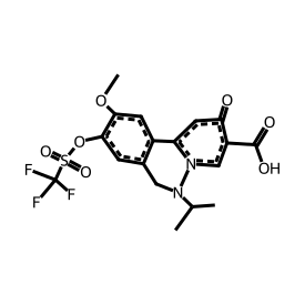 COc1cc2c(cc1OS(=O)(=O)C(F)(F)F)CN(C(C)C)n1cc(C(=O)O)c(=O)cc1-2